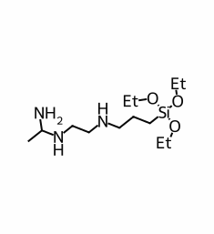 CCO[Si](CCCNCCNC(C)N)(OCC)OCC